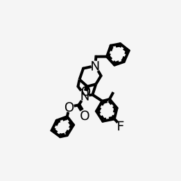 Cc1cc(F)ccc1C1C2CN(Cc3ccccc3)CC(CN1C(=O)Oc1ccccc1)C2=O